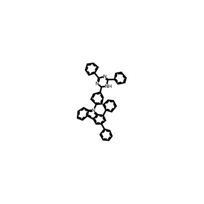 c1ccc(C2=NC(c3ccc(-n4c5ccccc5c5cc(-c6ccccc6)cc(-c6ccccc6)c54)cc3)NC(c3ccccc3)=N2)cc1